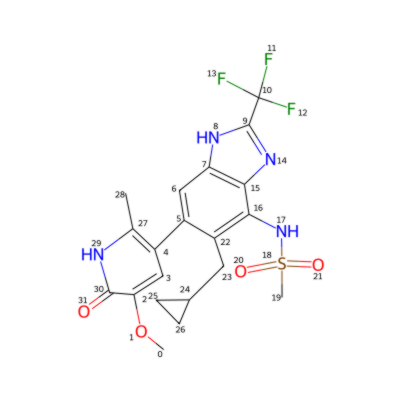 COc1cc(-c2cc3[nH]c(C(F)(F)F)nc3c(NS(C)(=O)=O)c2CC2CC2)c(C)[nH]c1=O